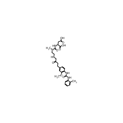 COc1cc(CCC(=O)CNCCN(C)C(=O)NC(CC(=O)O)C(=O)O)ccc1NC(=O)Nc1ccccc1C